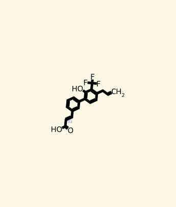 C=CCc1ccc(-c2cccc(/C=C/C(=O)O)c2)c(O)c1C(F)(F)F